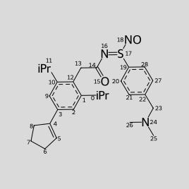 CC(C)c1cc(C2=CCCC2)cc(C(C)C)c1CC(=O)/N=S(/N=O)c1ccc(CN(C)C)cc1